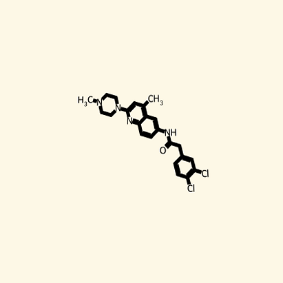 Cc1cc(N2CCN(C)CC2)nc2ccc(NC(=O)Cc3ccc(Cl)c(Cl)c3)cc12